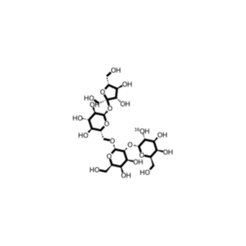 OC[C@H]1O[C@H](O[C@H]2[C@@H](OC[C@H]3O[C@H](O[C@@]4(CO)O[C@H](CO)[C@@H](O)[C@@H]4O)[C@H](O)[C@@H](O)[C@@H]3O)O[C@H](CO)[C@H](O)[C@@H]2O)[C@H]([16OH])[C@@H](O)[C@H]1O